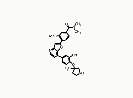 COc1cc(C(=O)N(C)C)ccc1-c1cc2nccc(-c3ccc(OC4(C(F)(F)F)CCNC4)c(C#N)c3)c2o1